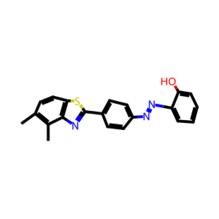 Cc1ccc2sc(-c3ccc(/N=N/c4ccccc4O)cc3)nc2c1C